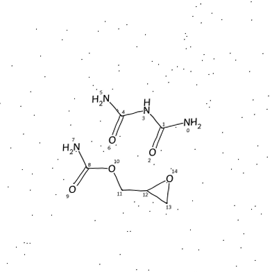 NC(=O)NC(N)=O.NC(=O)OCC1CO1